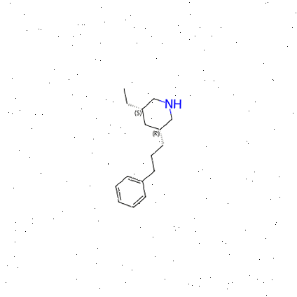 CC[C@@H]1CNC[C@H](CCCc2ccccc2)C1